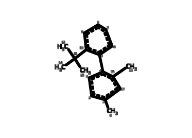 Cc1ccc(-c2ccc[c]c2C(C)(C)C)c(C)c1